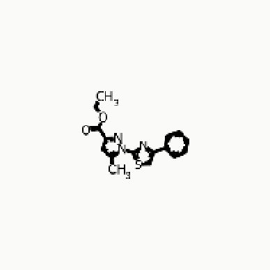 CCOC(=O)c1cc(C)n(-c2nc(-c3ccccc3)cs2)n1